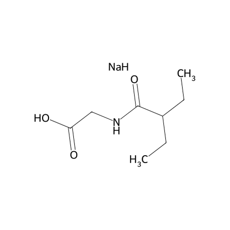 CCC(CC)C(=O)NCC(=O)O.[NaH]